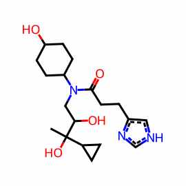 CC(O)(C(O)CN(C(=O)CCc1c[nH]cn1)C1CCC(O)CC1)C1CC1